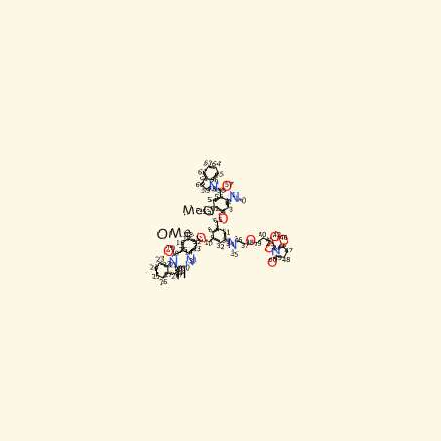 C=Nc1cc(OCc2cc(COc3cc4c(cc3OC)C(=O)N3c5ccccc5C[C@H]3C=N4)cc(N(C)CCOCCC(=O)ON3C(=O)CCC3=O)c2)c(OC)cc1C(=O)N1CCc2ccccc21